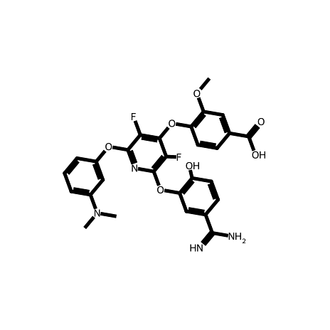 COc1cc(C(=O)O)ccc1Oc1c(F)c(Oc2cccc(N(C)C)c2)nc(Oc2cc(C(=N)N)ccc2O)c1F